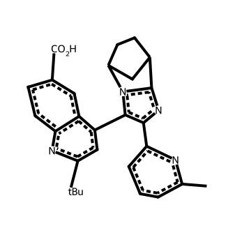 Cc1cccc(-c2nc3n(c2-c2cc(C(C)(C)C)nc4ccc(C(=O)O)cc24)C2CCC3C2)n1